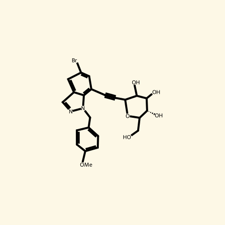 COc1ccc(Cn2ncc3cc(Br)cc(C#CC4OC(CO)[C@@H](O)C(O)C4O)c32)cc1